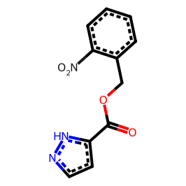 O=C(OCc1ccccc1[N+](=O)[O-])c1ccn[nH]1